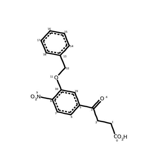 O=C(O)CCC(=O)c1ccc([N+](=O)[O-])c(OCc2ccccc2)c1